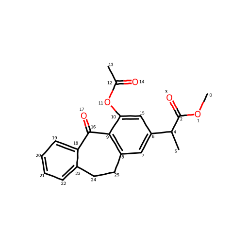 COC(=O)C(C)c1cc2c(c(OC(C)=O)c1)C(=O)c1ccccc1CC2